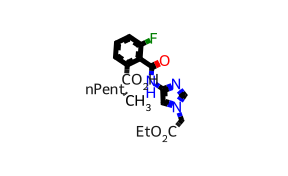 CCCCCC.CCOC(=O)Cn1cnc(NC(=O)c2c(F)cccc2C(=O)O)c1